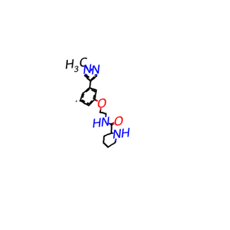 Cn1cc(-c2c[c]cc(OCCNC(=O)C3CCCCN3)c2)cn1